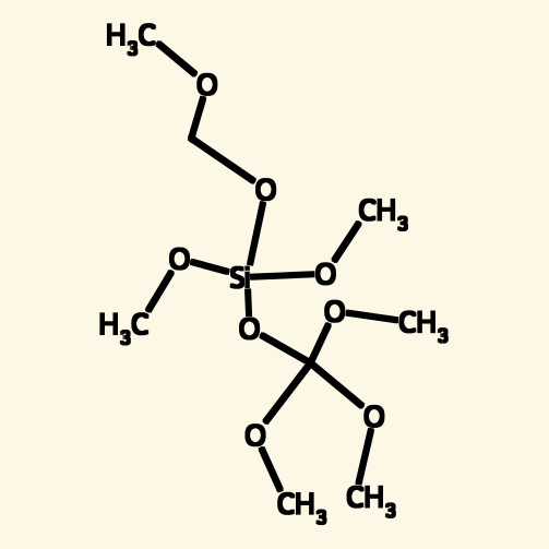 COCO[Si](OC)(OC)OC(OC)(OC)OC